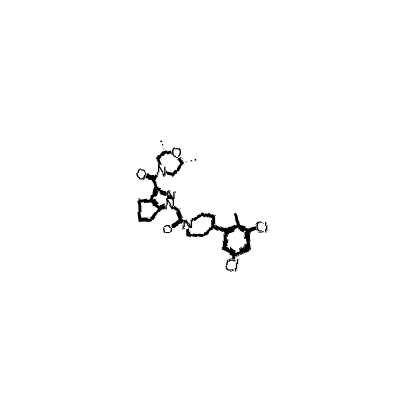 Cc1c(Cl)cc(Cl)cc1C1CCN(C(=O)Cn2nc(C(=O)N3C[C@@H](C)O[C@@H](C)C3)c3c2CCC3)CC1